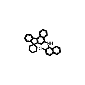 Clc1ccc2ccccc2c1Nc1cc2c(c3ccccc13)-c1ccccc1C21CCCCC1